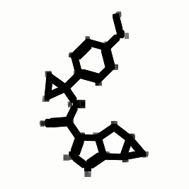 COc1ccc(C2(NC(=O)C3=NN=C4C3CC3CC43)CC2)cc1